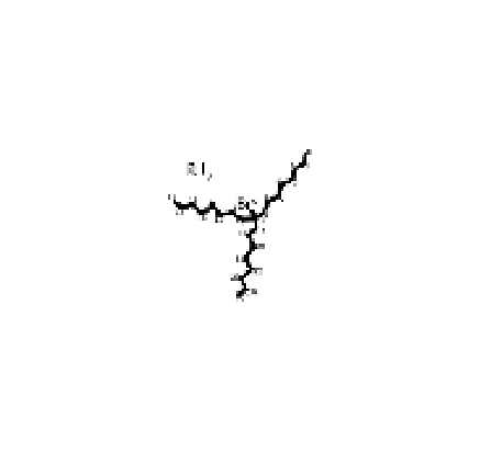 CCCCCCCCC(Br)(CCCCCCCC)CCCCCCCC.P